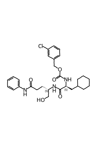 O=C(CC[C@@H](CO)NC(=O)[C@H](CC1CCCCC1)NC(=O)OCc1cccc(Cl)c1)Nc1ccccc1